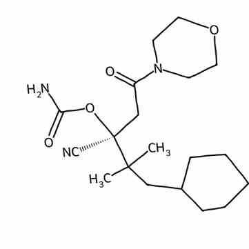 CC(C)(CC1CCCCC1)[C@](C#N)(CC(=O)N1CCOCC1)OC(N)=O